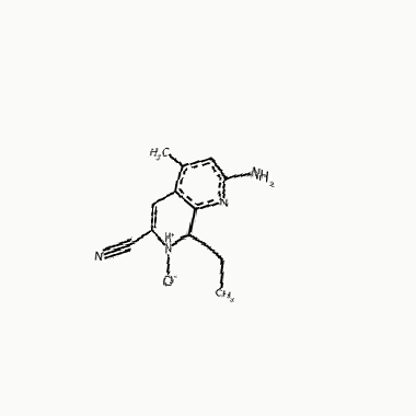 CCC1c2nc(N)cc(C)c2C=C(C#N)[NH+]1[O-]